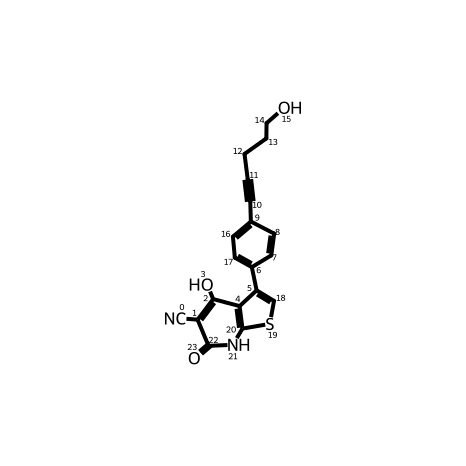 N#Cc1c(O)c2c(-c3ccc(C#CCCCO)cc3)csc2[nH]c1=O